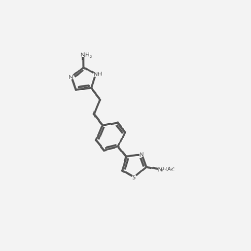 CC(=O)Nc1nc(-c2ccc(CCc3cnc(N)[nH]3)cc2)cs1